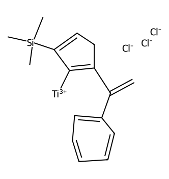 C=C(C1=[C]([Ti+3])C([Si](C)(C)C)=CC1)c1ccccc1.[Cl-].[Cl-].[Cl-]